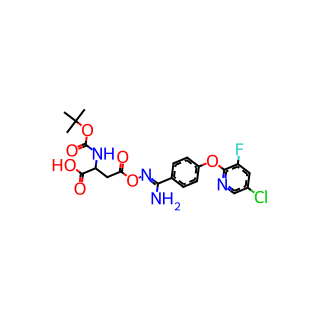 CC(C)(C)OC(=O)NC(CC(=O)O/N=C(\N)c1ccc(Oc2ncc(Cl)cc2F)cc1)C(=O)O